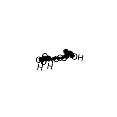 O=C1CC[C@H](N2Cc3cc(NCCCOCCOCCOc4ccc(C5c6ccc(O)cc6CCC5c5ccccc5)cc4)ccc3C2=O)C(=O)N1